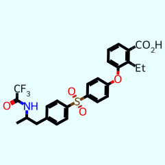 CCc1c(Oc2ccc(S(=O)(=O)c3ccc(CC(C)NC(=O)C(F)(F)F)cc3)cc2)cccc1C(=O)O